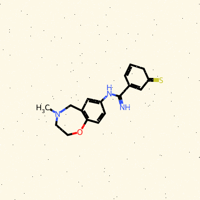 CN1CCOc2ccc(NC(=N)C3=CC(=S)CC=C3)cc2C1